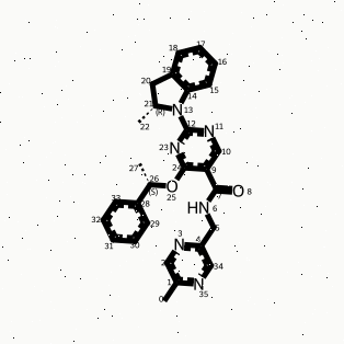 Cc1cnc(CNC(=O)c2cnc(N3c4ccccc4C[C@H]3C)nc2O[C@@H](C)c2ccccc2)cn1